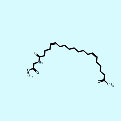 COC(=O)CNC(=O)CCC/C=C\CCCCCCC/C=C\CCCCC(C)=O